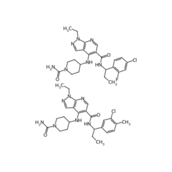 CCC(NC(=O)c1cnc2c(cnn2CC)c1NC1CCN(C(N)=O)CC1)c1ccc(C)c(Cl)c1.CCC(NC(=O)c1cnc2c(cnn2CC)c1NC1CCN(C(N)=O)CC1)c1ccc(Cl)cc1F